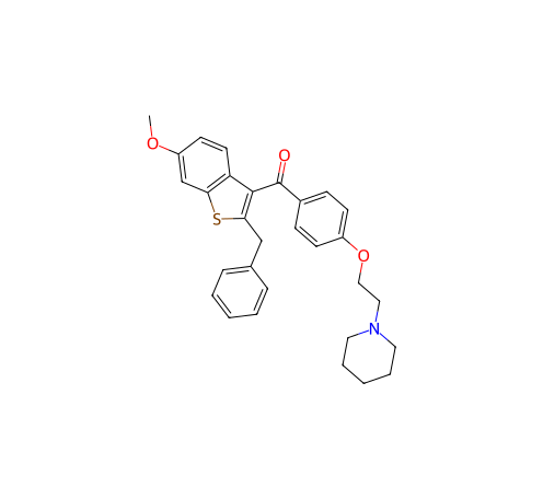 COc1ccc2c(C(=O)c3ccc(OCCN4CCCCC4)cc3)c(Cc3ccccc3)sc2c1